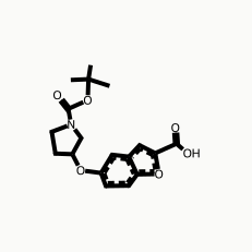 CC(C)(C)OC(=O)N1CCC(Oc2ccc3oc(C(=O)O)cc3c2)C1